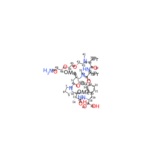 CC[C@H](C)[C@@H]([C@@H](CC(=O)N1CCC[C@H]1[C@H](OC)[C@@H](C)C(=O)N[C@@H](Cc1ccccc1)C(O)O)OC)N(C)C(=O)[C@@H](NC(=O)[C@H](C(C)C)N(C)CCOCCOCCON)C(C)C